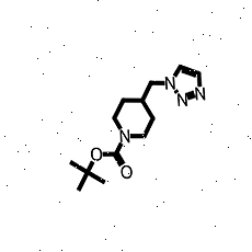 CC(C)(C)OC(=O)N1CCC(Cn2ccnn2)CC1